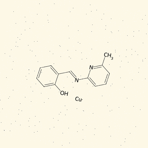 Cc1cccc(N=Cc2ccccc2O)n1.[Cu]